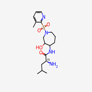 Cc1cccnc1S(=O)(=O)N1CCCC(NC(=O)[C@@H](N)CC(C)C)C(O)C1